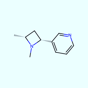 C[C@@H]1C[C@H](c2cccnc2)N1C